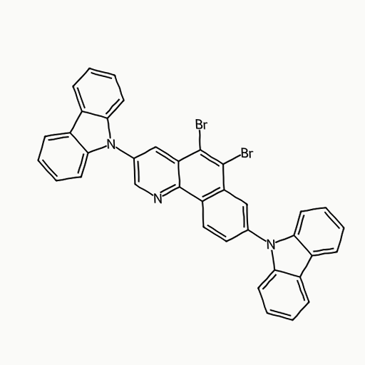 Brc1c(Br)c2cc(-n3c4ccccc4c4ccccc43)cnc2c2ccc(-n3c4ccccc4c4ccccc43)cc12